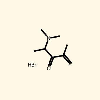 Br.C=C(C)C(=O)C(C)N(C)C